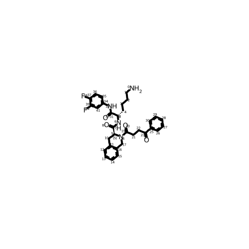 NCCCC[C@H](NC(=O)[C@@H]1Cc2ccccc2CN1C(=O)CCC(=O)c1ccccc1)C(=O)Nc1ccc(F)c(F)c1